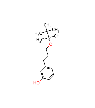 CC(C)(C)[Si](C)(C)OCCCc1cccc(O)c1